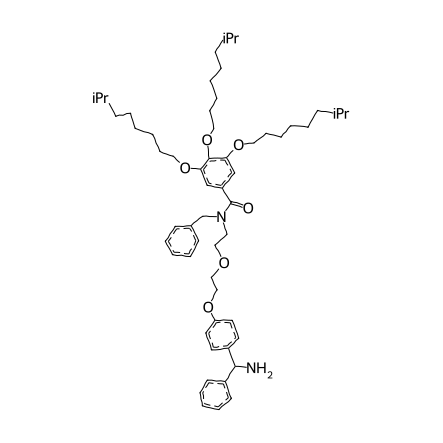 CC(C)CCCCCCOc1cc(C(=O)N(CCOCCOc2ccc(C(N)c3ccccc3)cc2)Cc2ccccc2)cc(OCCCCCCC(C)C)c1OCCCCCCC(C)C